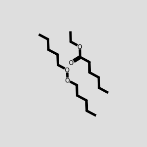 CCCCCC(=O)OCC.CCCCCOOCCCCC